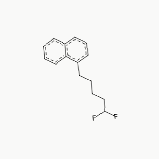 FC(F)CCCCc1cccc2ccccc12